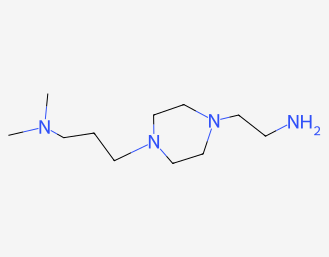 CN(C)CCCN1CCN(CCN)CC1